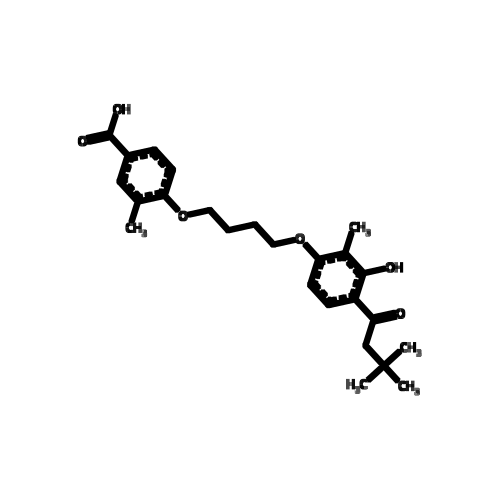 Cc1cc(C(=O)O)ccc1OCCCCOc1ccc(C(=O)CC(C)(C)C)c(O)c1C